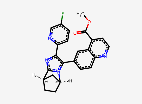 COC(=O)c1ccnc2ccc(-c3c(-c4ccc(F)cn4)nc4n3[C@H]3CC[C@@H]4C3)cc12